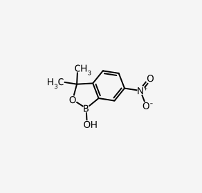 CC1(C)OB(O)c2cc([N+](=O)[O-])ccc21